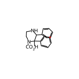 CC1(c2ccccc2)C(c2ccccc2)NCCN1C(=O)O